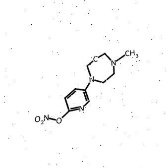 CN1CCCN(c2ccc(O[N+](=O)[O-])nc2)CC1